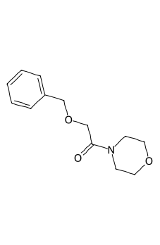 O=C(COCc1ccccc1)N1CCOCC1